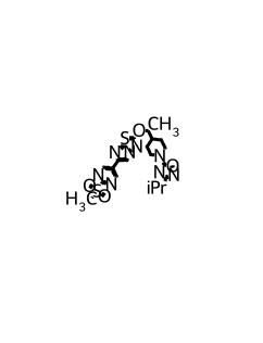 CC(C)c1noc(N2CCC(C(C)Oc3nn4cc(-c5cnc(S(C)(=O)=O)nc5)nc4s3)CC2)n1